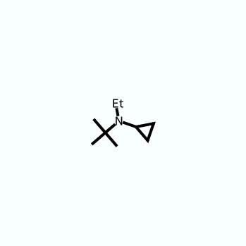 CCN(C1CC1)C(C)(C)C